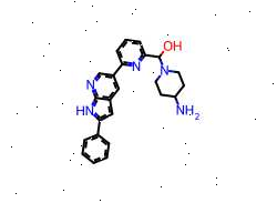 NC1CCN(C(O)c2cccc(-c3cnc4[nH]c(-c5ccccc5)cc4c3)n2)CC1